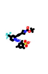 CC(C)(C)OC(=O)N1CC(C#Cc2cc(C(F)(F)F)cc[n+]2N)C1.Cc1cc(C)c(S(=O)(=O)[O-])c(C)c1